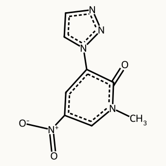 Cn1cc([N+](=O)[O-])cc(-n2ccnn2)c1=O